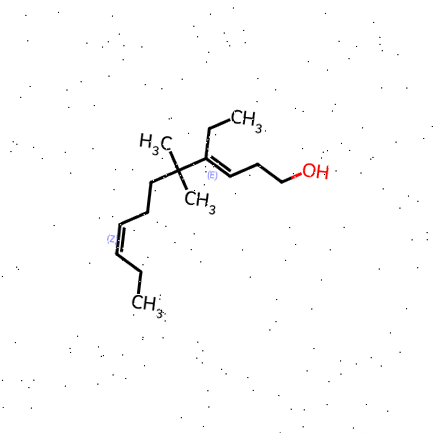 CC/C=C\CCC(C)(C)/C(=C/CCO)CC